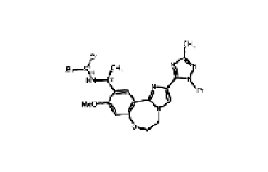 COc1cc2c(cc1[C@H](C)N[S@+]([O-])C(C)(C)C)-c1nc(-c3nc(C)nn3C(C)C)cn1CCO2